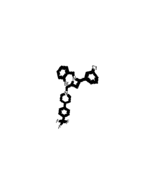 FC(F)(F)c1ccc(C2CCN(CC3CC(c4cccc(Cl)c4)N3Cc3ccccc3Br)CC2)cc1